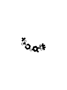 Cc1cc(OC2CCN(C(=O)OC(C)(C)C)CC2)ccc1B1OC(C)(C)C(C)(C)O1